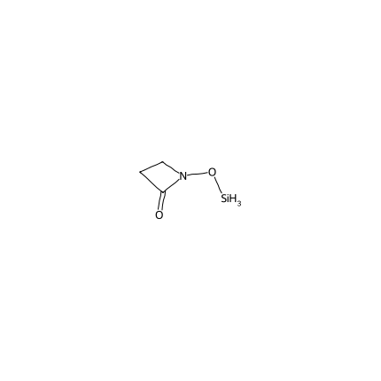 O=C1CCN1O[SiH3]